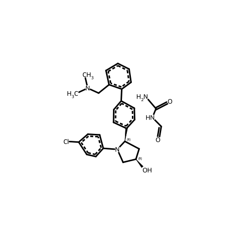 CN(C)Cc1ccccc1-c1ccc([C@H]2C[C@@H](O)CN2c2ccc(Cl)cc2)cc1.NC(=O)NC=O